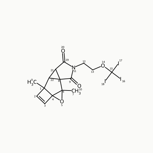 CC12C=CC13OC3(C)C13C(=O)N(CCOC(I)(I)I)C(=O)C1C23